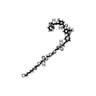 Cc1ccc(C(=O)Nc2ccc(CN3CCN(CCCNC(=O)OCCOCCOCCOC(=O)NCCOCCOCCCCCCCl)CC3)c(C(F)(F)F)c2)cc1C#Cc1cnc2cccnn12